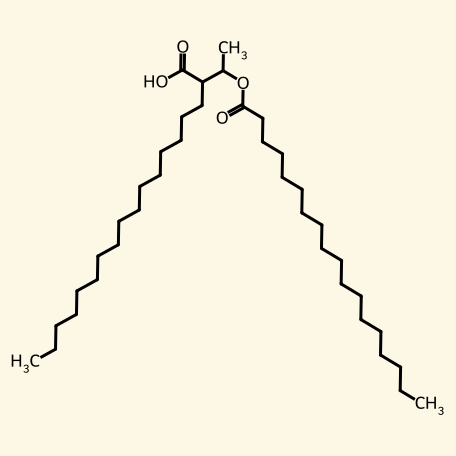 CCCCCCCCCCCCCCCCCC(=O)OC(C)C(CCCCCCCCCCCCCCCC)C(=O)O